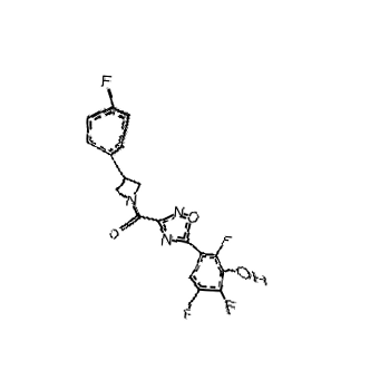 O=C(c1noc(-c2cc(F)c(F)c(O)c2F)n1)N1CC(c2ccc(F)cc2)C1